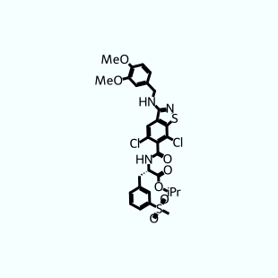 COc1ccc(CNc2nsc3c(Cl)c(C(=O)N[C@@H](Cc4cccc(S(C)(=O)=O)c4)C(=O)OC(C)C)c(Cl)cc23)cc1OC